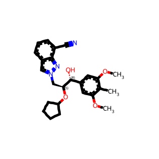 COc1cc([C@@H](O)[C@H](Cn2cc3cccc(C#N)c3n2)OC2CCCC2)cc(OC)c1C